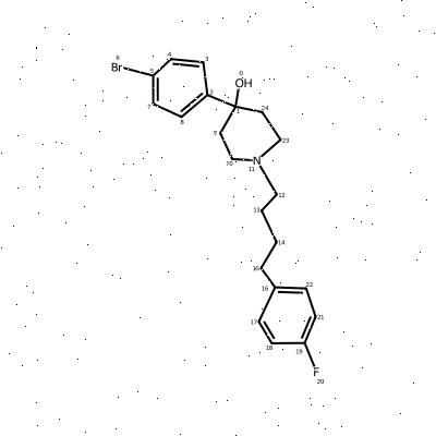 OC1(c2ccc(Br)cc2)CCN(CCCCc2ccc(F)cc2)CC1